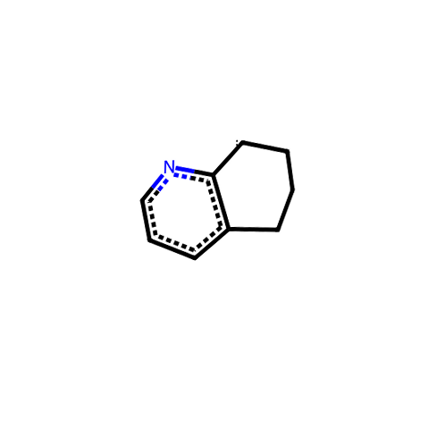 [C]1CCCc2cccnc21